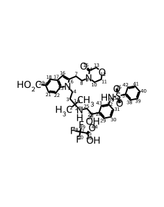 CC(C)(CCn1c(CCN2CCOCC2=O)cc2cc(C(=O)O)ccc21)NC[C@H](O)c1cccc(NS(=O)(=O)c2ccccc2)c1.O=C(O)C(F)(F)F